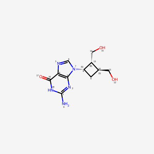 Nc1nc2c(ncn2[C@H]2C[C@H](CO)[C@H]2CO)c(=O)[nH]1